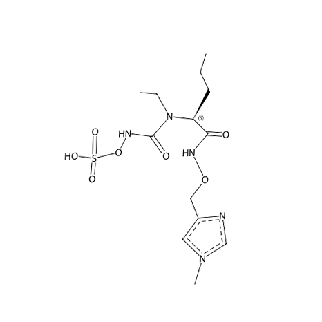 CCC[C@@H](C(=O)NOCc1cn(C)cn1)N(CC)C(=O)NOS(=O)(=O)O